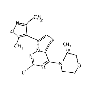 Cc1noc(C)c1-c1ccc2c(N3CCOC[C@H]3C)nc(Cl)nn12